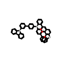 c1ccc(-c2ccc(N(c3ccc(-c4cccc(-n5c6ccccc6c6ccccc65)c4)cc3)c3ccccc3-c3ccc4c(ccc5oc6ccccc6c54)c3)cc2)cc1